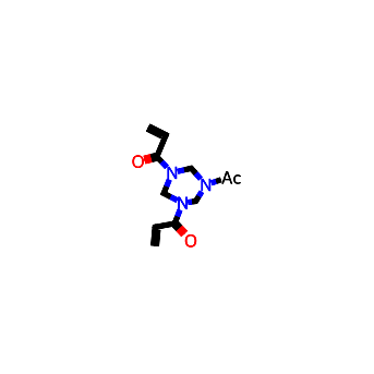 C=CC(=O)N1CN(C(C)=O)CN(C(=O)C=C)C1